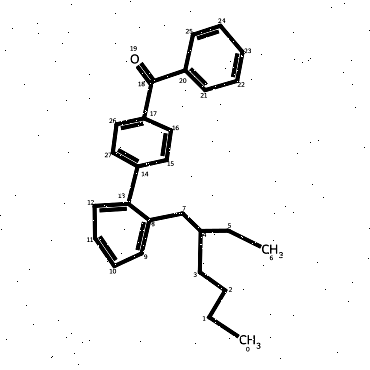 CCCCC(CC)Cc1ccccc1-c1ccc(C(=O)c2ccccc2)cc1